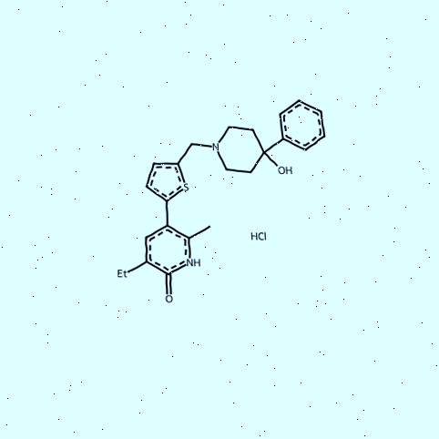 CCc1cc(-c2ccc(CN3CCC(O)(c4ccccc4)CC3)s2)c(C)[nH]c1=O.Cl